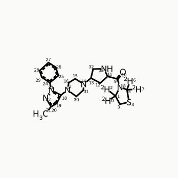 [2H]C1([2H])CSC([2H])([2H])N1C(=O)C1CC(N2CCN(c3cc(C)nn3-c3ccccc3)CC2)CN1